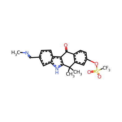 CN=Cc1ccc2c3c([nH]c2c1)C(C)(C)c1cc(OS(=O)(=O)C(F)(F)F)ccc1C3=O